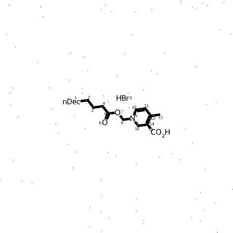 Br.CCCCCCCCCCCCCC(=O)OCN1C=CC(C)=C(C(=O)O)C1